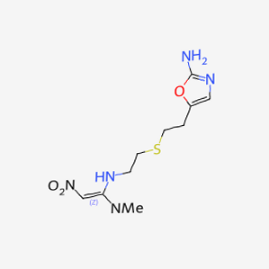 CN/C(=C/[N+](=O)[O-])NCCSCCc1cnc(N)o1